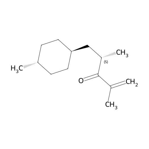 C=C(C)C(=O)[C@@H](C)C[C@H]1CC[C@H](C)CC1